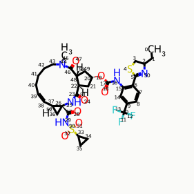 CCC1CSC(c2ccc(C(F)(F)F)cc2NC(=O)O[C@@H]2C[C@H]3C(=O)N[C@]4(C(=O)NS(=O)(=O)C5CC5)C[C@H]4/C=C\CCCCN(C)C(=O)[C@@H]3C2)=N1